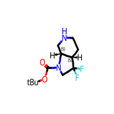 CC(C)(C)OC(=O)N1CC(F)(F)[C@H]2CCNC[C@H]21